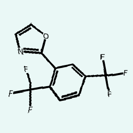 FC(F)(F)c1ccc(C(F)(F)F)c(-c2nc[c]o2)c1